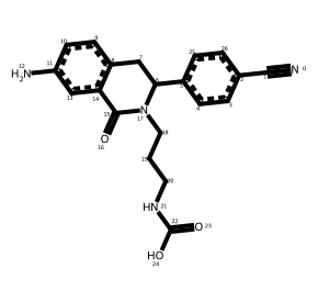 N#Cc1ccc(C2Cc3ccc(N)cc3C(=O)N2CCCNC(=O)O)cc1